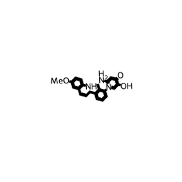 COc1ccc(N)c(/C=C\Cc2cccc(-n3cc(O)c(=O)cc3N)c2C)c1